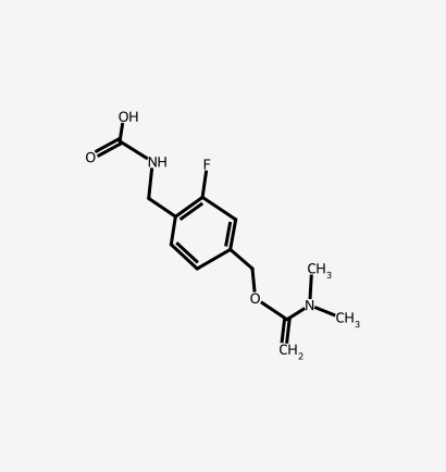 C=C(OCc1ccc(CNC(=O)O)c(F)c1)N(C)C